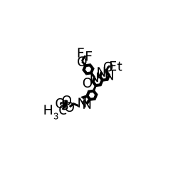 CCOc1ncc2cc(-c3ccc4nn(CCOS(C)(=O)=O)cc4c3)c(=O)n(-c3ccc(OC(F)F)cc3)c2n1